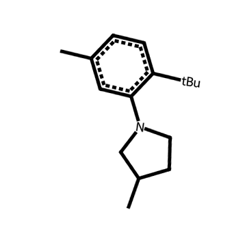 Cc1ccc(C(C)(C)C)c(N2CCC(C)C2)c1